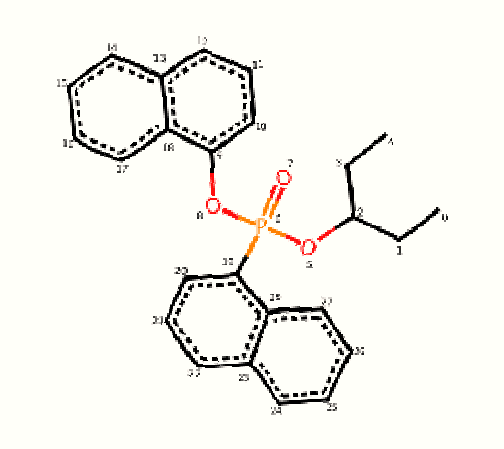 CCC(CC)OP(=O)(Oc1cccc2ccccc12)c1cccc2ccccc12